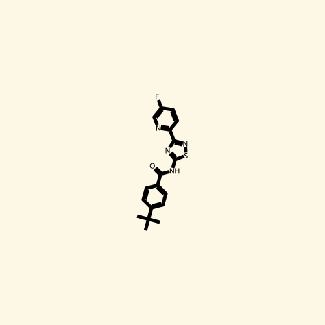 CC(C)(C)c1ccc(C(=O)Nc2nc(-c3ccc(F)cn3)ns2)cc1